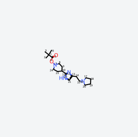 CC(C)(C)C(=O)ON1CCC(c2nc(CCN3CCCC3)c[nH]2)CC1